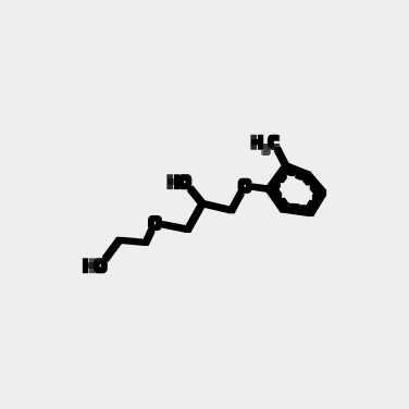 Cc1ccccc1OCC(O)COCCO